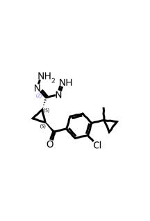 CC1(c2ccc(C(=O)[C@H]3C[C@@H]3/C(N=N)=N/N)cc2Cl)CC1